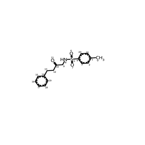 Cc1ccc(S(=O)(=O)NCC(=O)CCc2ccccc2)cc1